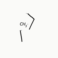 [CH2]C.[CH2]CC.[CH3]